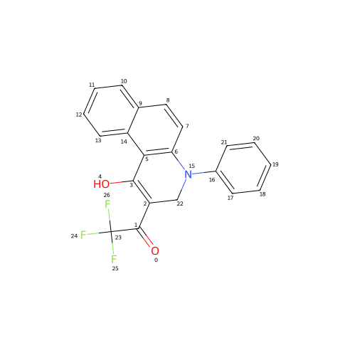 O=C(C1=C(O)c2c(ccc3ccccc23)N(c2ccccc2)C1)C(F)(F)F